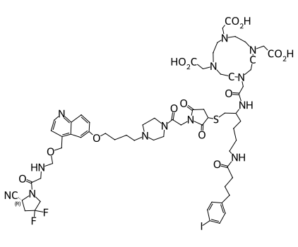 N#C[C@H]1CC(F)(F)CN1C(=O)CNCOCc1ccnc2ccc(OCCCCN3CCN(C(=O)CN4C(=O)CC(SCC(CCCCNC(=O)CCCc5ccc(I)cc5)NC(=O)CN5CCN(CC(=O)O)CCN(CC(=O)O)CCN(CC(=O)O)CC5)C4=O)CC3)cc12